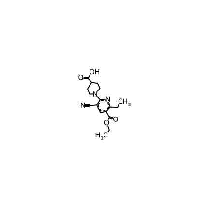 CCOC(=O)c1cc(C#N)c(N2CCC(C(=O)O)CC2)nc1CC